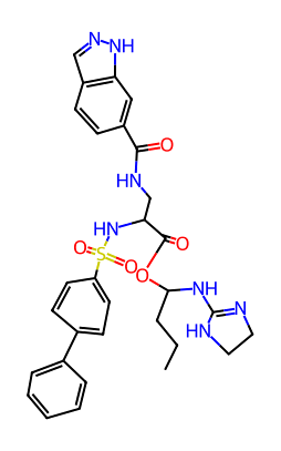 CCCC(NC1=NCCN1)OC(=O)C(CNC(=O)c1ccc2cn[nH]c2c1)NS(=O)(=O)c1ccc(-c2ccccc2)cc1